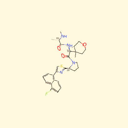 CN[C@@H](C)C(=O)N[C@H](C(=O)N1CCC[C@H]1c1nc(-c2cccc3c(F)cccc23)cs1)C1(C)CCOCC1